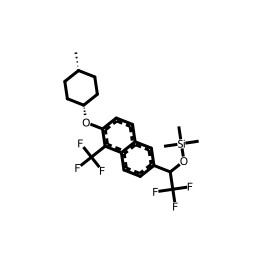 C[Si](C)(C)OC(c1ccc2c(C(F)(F)F)c(O[C@H]3CC[C@@H](C)CC3)ccc2c1)C(F)(F)F